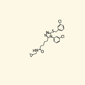 O=C(CCCCc1nnc(SCc2cccc(Cl)c2)n1-c1cccc(Cl)c1)NCC1CC1